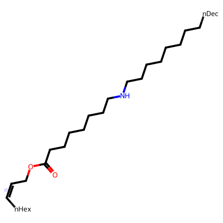 CCCCCC/C=C\COC(=O)CCCCCCCNCCCCCCCCCCCCCCCCCC